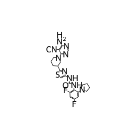 [C-]#[N+]c1c(N)ncnc1N1CCCC(c2nc(NC(=O)Nc3c(F)cc(F)cc3N3CCCC3)cs2)C1